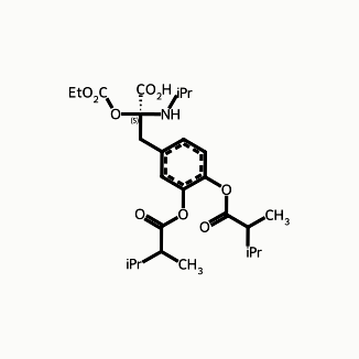 CCOC(=O)O[C@](Cc1ccc(OC(=O)C(C)C(C)C)c(OC(=O)C(C)C(C)C)c1)(NC(C)C)C(=O)O